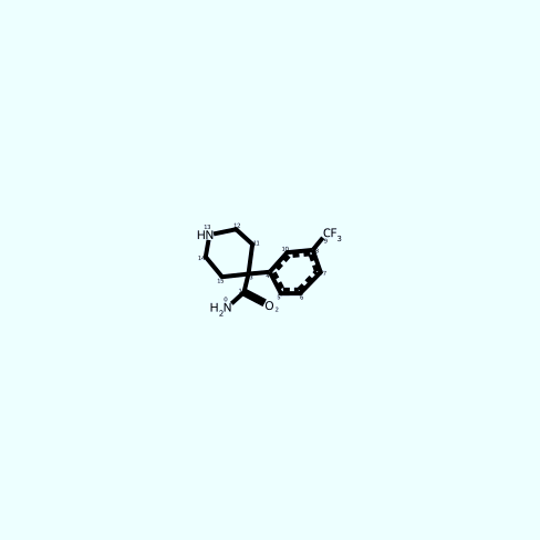 NC(=O)C1(c2cccc(C(F)(F)F)c2)CCNCC1